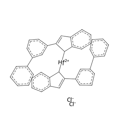 C1=C(c2cccc(-c3ccccc3)c2)[CH]([Hf+2][CH]2C(c3cccc(-c4ccccc4)c3)=Cc3ccccc32)c2ccccc21.[Cl-].[Cl-]